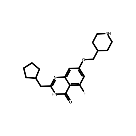 O=c1[nH]c(CC2CCCC2)nc2cc(OCC3CCNCC3)cc(F)c12